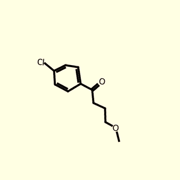 COCCCC(=O)c1ccc(Cl)cc1